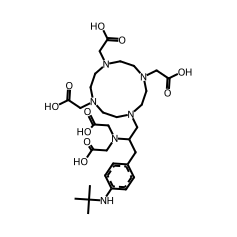 CC(C)(C)Nc1ccc(CC(CN2CCN(CC(=O)O)CCN(CC(=O)O)CCN(CC(=O)O)CC2)N(CC(=O)O)CC(=O)O)cc1